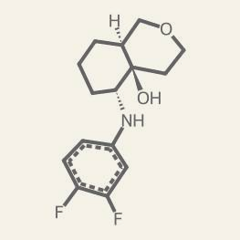 O[C@]12CCOC[C@@H]1CCC[C@H]2Nc1ccc(F)c(F)c1